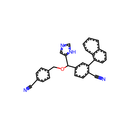 N#Cc1ccc(COC(c2ccc(C#N)c(-c3cccc4ccccc34)c2)c2cnc[nH]2)cc1